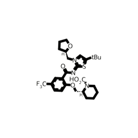 CC(C)(C)c1cn(C[C@H]2CCCO2)c(=NC(=O)c2cc(C(F)(F)F)ccc2OC[C@H]2CCCCN2C(=O)O)s1